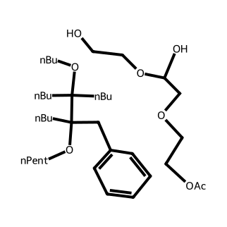 CC(=O)OCCOCC(O)OCCO.CCCCCOC(CCCC)(Cc1ccccc1)C(CCCC)(CCCC)OCCCC